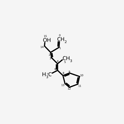 C=C/C(=C\C(C)=C(/C)c1ccccc1)CO